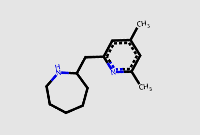 Cc1cc(C)nc(CC2CCCCCN2)c1